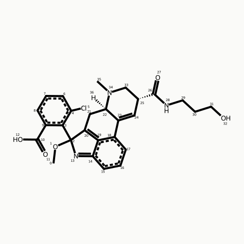 COC1(c2c(Cl)cccc2C(=O)O)N=c2cccc3c2=C1C[C@@H]1C3=C[C@@H](C(=O)NCCCO)CN1C